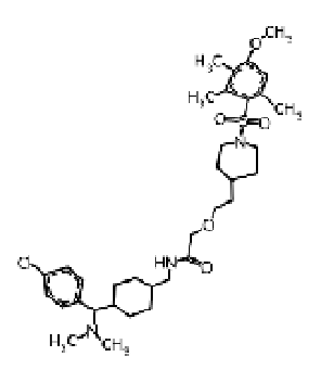 COc1cc(C)c(S(=O)(=O)N2CCC(CCOCC(=O)NCC3CCC(C(c4ccc(Cl)cc4)N(C)C)CC3)CC2)c(C)c1C